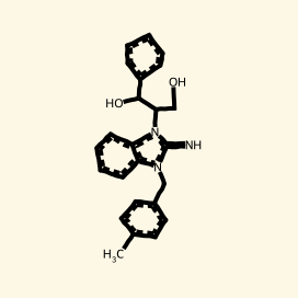 Cc1ccc(Cn2c(=N)n(C(CO)C(O)c3ccccc3)c3ccccc32)cc1